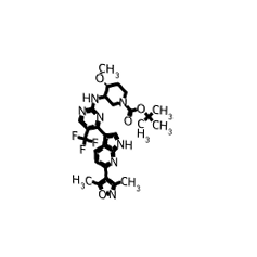 CO[C@@H]1CCN(C(=O)OC(C)(C)C)CC1Nc1ncc(C(F)(F)F)c(-c2c[nH]c3nc(-c4c(C)noc4C)ccc23)n1